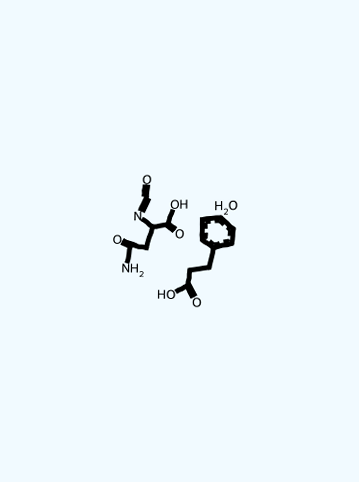 NC(=O)CC(N=C=O)C(=O)O.O.O=C(O)CCc1ccccc1